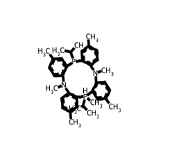 Cc1ccc2c(c1)P(C(C)C)c1cc(C)ccc1N(C)c1ccc(C)cc1[PH](C)(C(C)C)c1cc(C)ccc1N2C